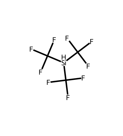 FC(F)(F)[SiH](C(F)(F)F)C(F)(F)F